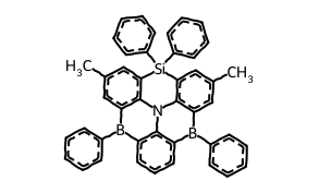 Cc1cc2c3c(c1)[Si](c1ccccc1)(c1ccccc1)c1cc(C)cc4c1N3c1c(cccc1B4c1ccccc1)B2c1ccccc1